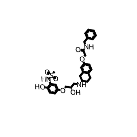 CS(=O)(=O)Nc1cc(OC[C@@H](O)CN[C@H]2CCc3ccc(OCC(=O)NCc4ccccc4)cc3C2)ccc1O